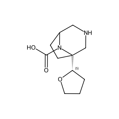 O=C(O)N1C2CCC1([C@@H]1CCCO1)CNC2